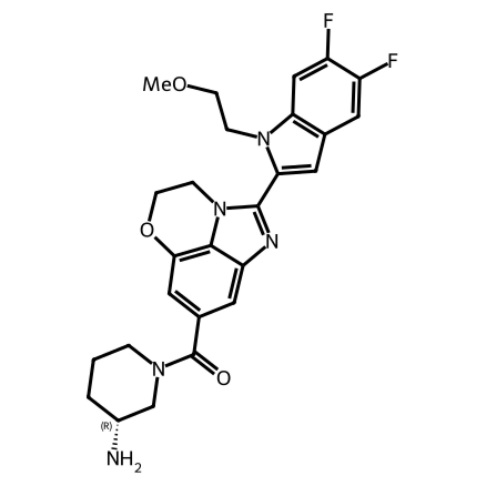 COCCn1c(-c2nc3cc(C(=O)N4CCC[C@@H](N)C4)cc4c3n2CCO4)cc2cc(F)c(F)cc21